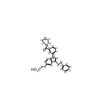 O=C(O)CCc1ccc2c(c1)c(CCc1ccccc1)cn2-c1cccc(C(=O)N2CCOCC2)c1